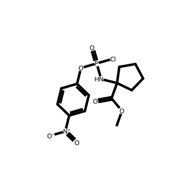 COC(=O)C1(NP(=O)(Cl)Oc2ccc([N+](=O)[O-])cc2)CCCC1